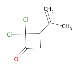 C=C(C)C1CC(=O)C1(Cl)Cl